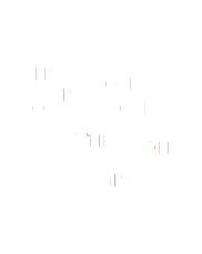 CC(C)[PH](O)(O)OP(=O)(O)O